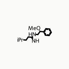 CO[C@@H](CNC(=N)CCC(C)C)c1ccccc1